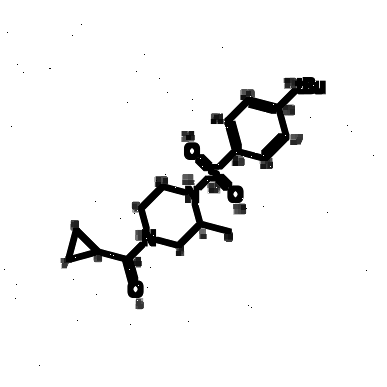 CC1CN(C(=O)C2CC2)CCN1S(=O)(=O)c1ccc(C(C)(C)C)cc1